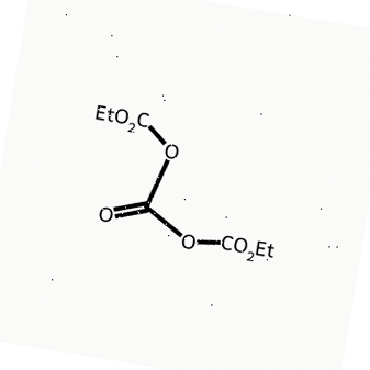 CCOC(=O)OC(=O)OC(=O)OCC